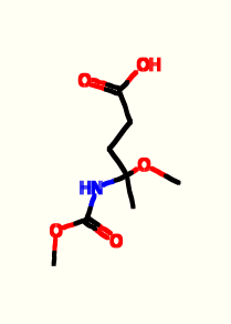 COC(=O)NC(C)(CCC(=O)O)OC